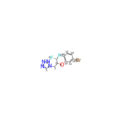 FCC(Cn1cnnn1)Oc1cc(Br)ccc1F